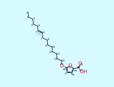 CCCCC/C=C/CCCCCCCCOc1ccc(C(=O)O)o1